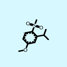 COc1c[c]c(S(C)(=O)=O)c(C(C)C)c1